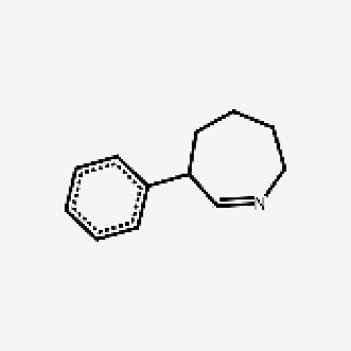 [C]1=NCCCCC1c1ccccc1